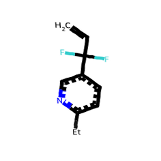 C=CC(F)(F)c1ccc(CC)nc1